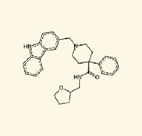 O=C(NCC1CCCO1)C1(c2ccccc2)CCN(Cc2ccc3[nH]c4ccccc4c3c2)CC1